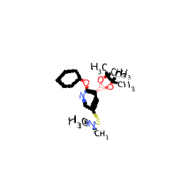 CN(C)Sc1cnc(OC2CCCCC2)c(B2OC(C)(C)C(C)(C)O2)c1